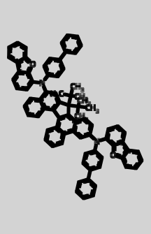 CC(C)(C)C1(C(C)(C)C)c2cc(N(c3ccc(-c4ccccc4)cc3)c3cccc4c3oc3ccccc34)c3ccccc3c2-c2c1c1ccc(N(c3ccc(-c4ccccc4)cc3)c3cccc4c3oc3ccccc34)cc1c1ccccc21